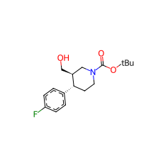 CC(C)(C)OC(=O)N1CC[C@H](c2ccc(F)cc2)[C@@H](CO)C1